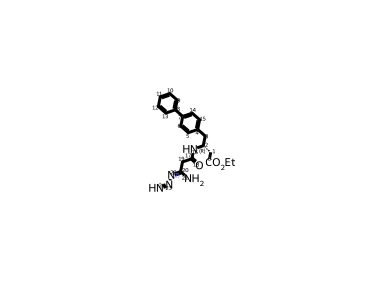 CCOC(=O)C[C@@H](Cc1ccc(-c2ccccc2)cc1)NC(=O)C/C(N)=N/N=N